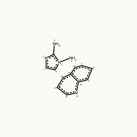 Nc1nccn1N.c1ccc2ncccc2c1